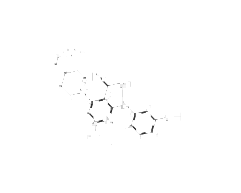 COCC1CCN(c2cc(C(=O)O)nc(Nc3cccc(C)c3)c2C(=N)C(C)C)CC1